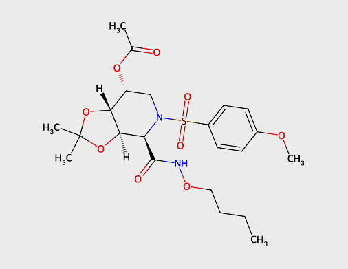 CCCCONC(=O)[C@H]1[C@H]2OC(C)(C)O[C@@H]2[C@H](OC(C)=O)CN1S(=O)(=O)c1ccc(OC)cc1